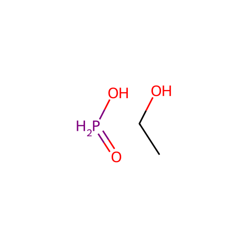 CCO.O=[PH2]O